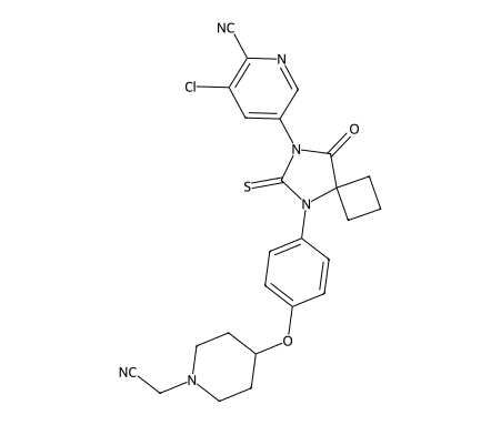 N#CCN1CCC(Oc2ccc(N3C(=S)N(c4cnc(C#N)c(Cl)c4)C(=O)C34CCC4)cc2)CC1